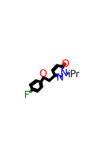 CC(C)n1nc(CC(=O)c2ccc(F)cc2)ccc1=O